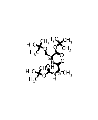 C[C@H](NC(=O)OC(C)(C)C)C(=O)N[C@@H](COC(C)(C)C)C(=O)OC(C)(C)C